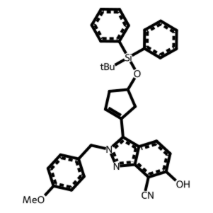 COc1ccc(Cn2nc3c(C#N)c(O)ccc3c2C2=CCC(O[Si](c3ccccc3)(c3ccccc3)C(C)(C)C)C2)cc1